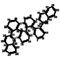 c1ccc(-c2ccccc2-c2ccccc2-c2ccccc2-c2ccc3ccccc3n2)c(-c2ccc3ccccc3n2)c1